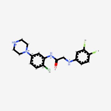 O=C(CNc1ccc(F)c(F)c1)Nc1cc(N2CCNCC2)ccc1Cl